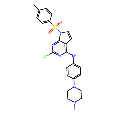 Cc1ccc(S(=O)(=O)n2ccc3c(Nc4ccc(N5CCN(C)CC5)cc4)nc(Cl)nc32)cc1